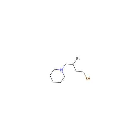 CCC(CCS)CN1CCCCC1